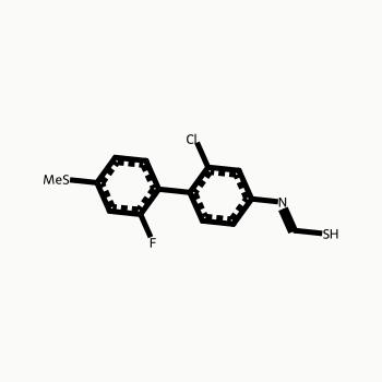 CSc1ccc(-c2ccc(N=CS)cc2Cl)c(F)c1